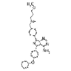 COCCCNCc1ccc(-n2nc(-c3ccc(Oc4ccccc4)cc3)c3c(N)ncnc32)cc1